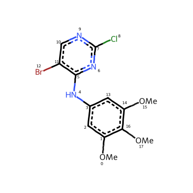 COc1cc(Nc2nc(Cl)ncc2Br)cc(OC)c1OC